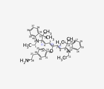 CCN1/C(=C/C=C(/C=C/C2=[N+](CC)c3ccccc3C2(C)C)Oc2ccc(CCN)cc2)C(C)(C)c2ccccc21